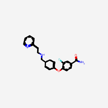 NC(=O)c1ccc(OC2=CCC(CNCCc3ccccn3)C=C2)c(F)c1